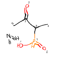 CC(=O)C(C)[PH](=O)O.[NaH]